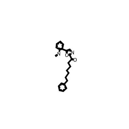 C=Nc1ccccc1-c1cnc(C(=O)CCCCCCc2ccccc2)o1